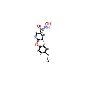 CCCc1ccc(Oc2ccc(C(=O)NO)cn2)cc1